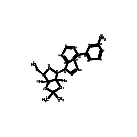 CC1(C)O[C@@H]2[C@H](O1)[C@@H](CO)O[C@H]2n1cnc2c(-c3cccc(N)c3)ncnc21